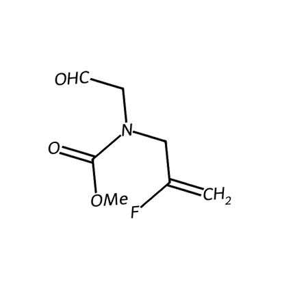 C=C(F)CN(CC=O)C(=O)OC